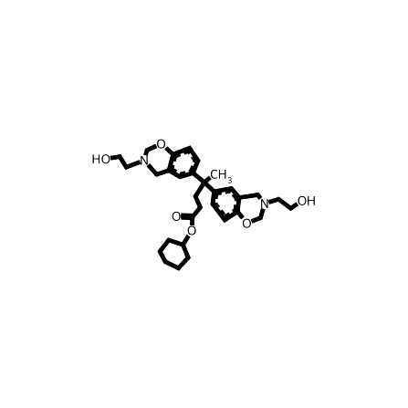 CC(CCC(=O)OC1CCCCC1)(c1ccc2c(c1)CN(CCO)CO2)c1ccc2c(c1)CN(CCO)CO2